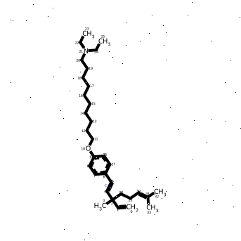 C=CC(C)(/C=C/c1ccc(OCCCCCCCCCCN(CC)CC)cc1)CCC=C(C)C